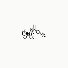 Cc1cc(Nc2ncc3nc(-c4ccccc4C(F)(F)F)c4ccncc4c3n2)ccc1N1CCN(C)CC1